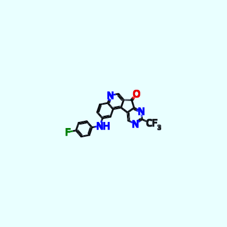 O=C1c2cnc3ccc(Nc4ccc(F)cc4)cc3c2-c2cnc(C(F)(F)F)nc21